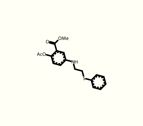 COC(=O)c1cc(NCCSc2ccccc2)ccc1OC(C)=O